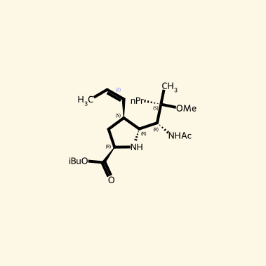 C/C=C\[C@@H]1C[C@H](C(=O)OCC(C)C)N[C@H]1[C@@H](NC(C)=O)[C@](C)(CCC)OC